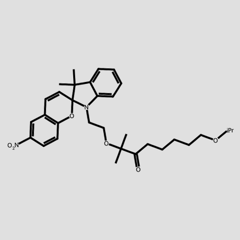 CC(C)OCCCCCC(=O)C(C)(C)OCCN1c2ccccc2C(C)(C)C12C=Cc1cc([N+](=O)[O-])ccc1O2